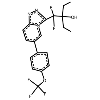 CCC(O)(CC)C(F)(F)c1nnc2ccc(-c3ccc(OC(F)(F)F)cc3)cn12